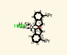 CC1=Cc2c(C(C)C)cccc2[CH]1[Zr]([CH3])([CH3])(=[SiH2])[CH]1C(C)=Cc2c(C(C)C)cccc21.Cl.Cl